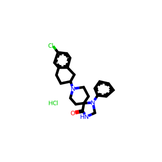 Cl.O=C1NCN(c2ccccc2)C12CCN(C1CCc3cc(Cl)ccc3C1)CC2